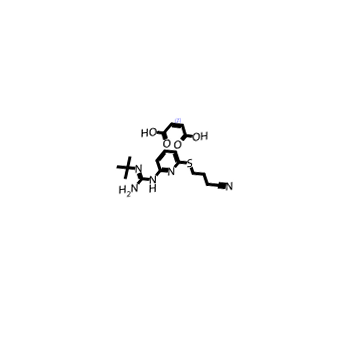 CC(C)(C)N=C(N)Nc1cccc(SCCCC#N)n1.O=C(O)/C=C\C(=O)O